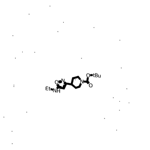 CCNc1cc(C2CCN(C(=O)OC(C)(C)C)CC2)no1